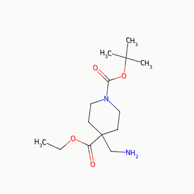 CCOC(=O)C1(CN)CCN(C(=O)OC(C)(C)C)CC1